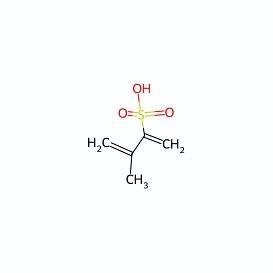 C=C(C)C(=C)S(=O)(=O)O